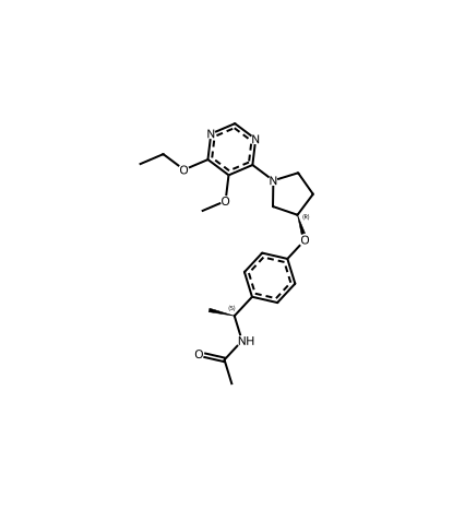 CCOc1ncnc(N2CC[C@@H](Oc3ccc([C@H](C)NC(C)=O)cc3)C2)c1OC